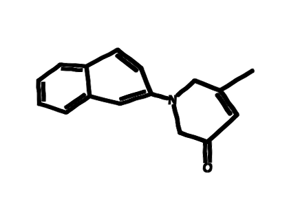 CC1=CC(=O)CN(c2ccc3ccccc3c2)C1